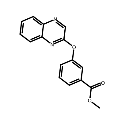 COC(=O)c1cccc(Oc2cnc3ccccc3n2)c1